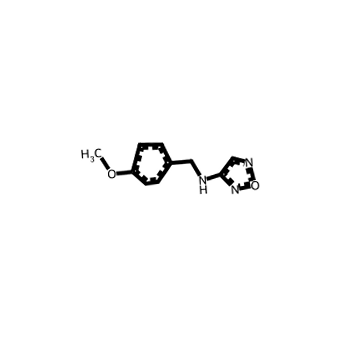 COc1ccc(CNc2cnon2)cc1